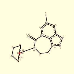 O=C1c2cc(F)cc3cnn(c23)CCN1C1CN2CCC1CC2